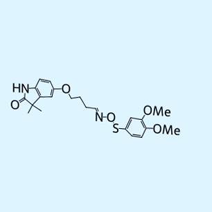 COc1ccc(SON=CCCCOc2ccc3c(c2)C(C)(C)C(=O)N3)cc1OC